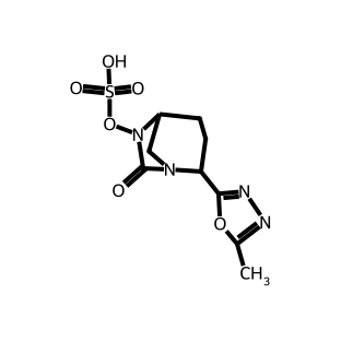 Cc1nnc(C2CCC3CN2C(=O)N3OS(=O)(=O)O)o1